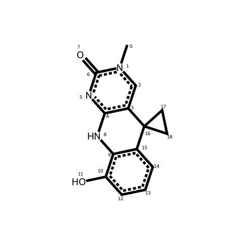 Cn1cc2c(nc1=O)Nc1c(O)cccc1C21CC1